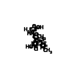 Cc1ccc(C(=S)n2c(C)c(CC(=O)NC(C)CC(=O)O)c3cc(O)c(Cl)cc32)cc1